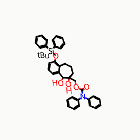 CC(C)(C)[Si](Oc1cccc2c1CCCC(O)(COC(=O)N(c1ccccc1)c1ccccc1)C2O)(c1ccccc1)c1ccccc1